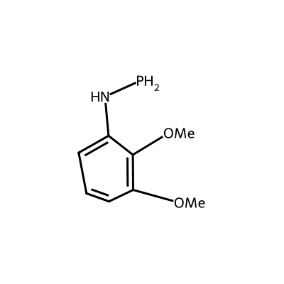 COc1cccc(NP)c1OC